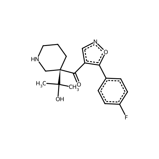 CC(C)(O)[C@]1(C(=O)c2cnoc2-c2ccc(F)cc2)CCCNC1